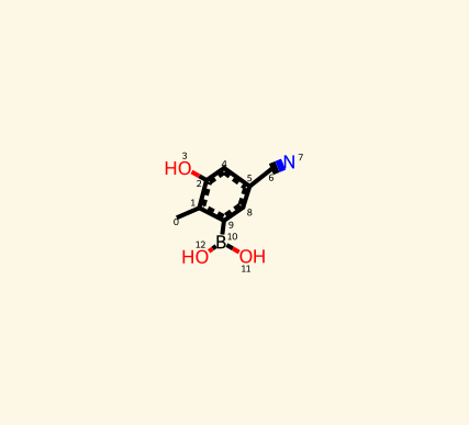 Cc1c(O)cc(C#N)cc1B(O)O